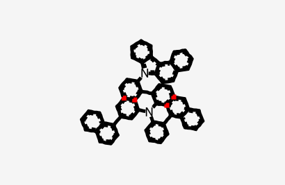 c1cc(-c2cccc3ccccc23)cc(N(c2ccccc2-c2ccccc2-n2c3ccccc3c3c4ccccc4ccc32)c2ccccc2-c2cccc3ccccc23)c1